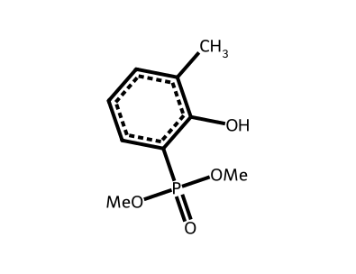 COP(=O)(OC)c1cccc(C)c1O